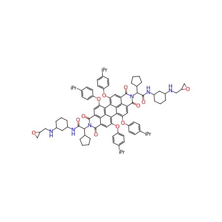 CC(C)c1ccc(Oc2cc3c4c(cc(Oc5ccc(C(C)C)cc5)c5c6c(Oc7ccc(C(C)C)cc7)cc7c8c(cc(Oc9ccc(C(C)C)cc9)c(c2c45)c86)C(=O)N(C(C(=O)NC2CCCC(NCC4CO4)C2)C2CCCC2)C7=O)C(=O)N(C(C(=O)NC2CCCC(NCC4CO4)C2)C2CCCC2)C3=O)cc1